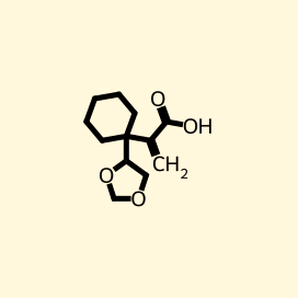 C=C(C(=O)O)C1(C2COCO2)CCCCC1